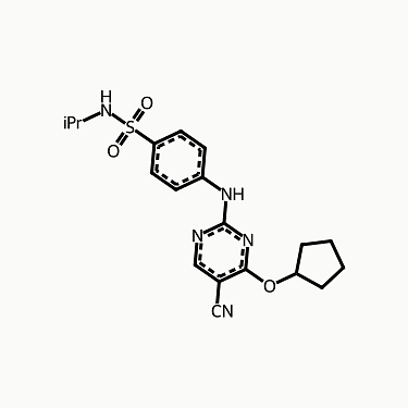 CC(C)NS(=O)(=O)c1ccc(Nc2ncc(C#N)c(OC3CCCC3)n2)cc1